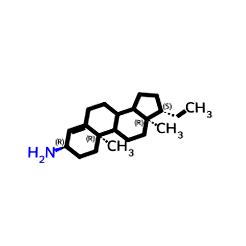 CC[C@H]1CCC2C3CCC4=C[C@H](N)CC[C@]4(C)C3CC[C@@]21C